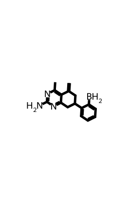 Bc1ccccc1C1CC(=C)c2c(C)nc(N)nc2C1